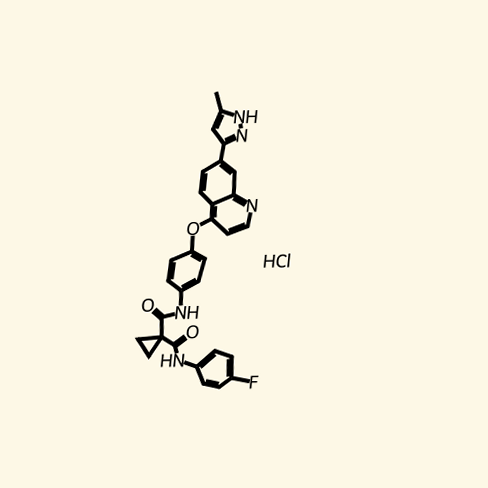 Cc1cc(-c2ccc3c(Oc4ccc(NC(=O)C5(C(=O)Nc6ccc(F)cc6)CC5)cc4)ccnc3c2)n[nH]1.Cl